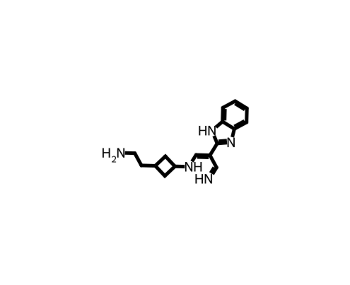 N=C/C(=C\NC1CC(CCN)C1)c1nc2ccccc2[nH]1